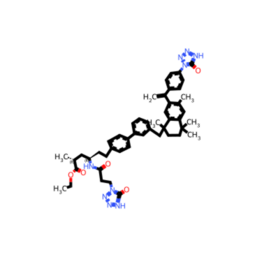 C=C(c1ccc(-n2nn[nH]c2=O)cc1)c1cc2c(cc1C)C(C)(C)CCC2(C)Cc1cccc(-c2ccc(CC[C@H](C[C@@H](C)C(=O)OCC)NC(=O)CCn3nn[nH]c3=O)cc2)c1